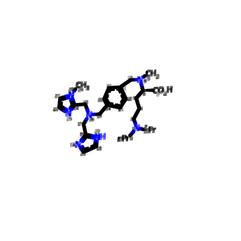 CCCN(CCC)CCC[C@H](C(=O)O)N(C)Cc1ccc(CN(Cc2ncc[nH]2)Cc2nccn2C)cc1